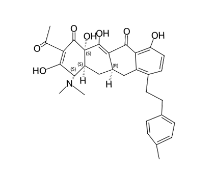 CC(=O)C1=C(O)[C@@H](N(C)C)[C@@H]2C[C@@H]3Cc4c(CCc5ccc(C)cc5)ccc(O)c4C(=O)C3=C(O)[C@]2(O)C1=O